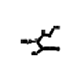 CC(C)(C)ON[C@@H](C(=O)O)C(=C=O)C(C)(C)C